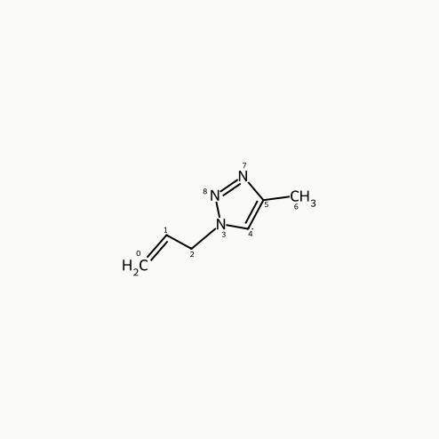 C=CCn1[c]c(C)nn1